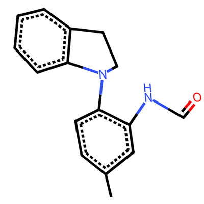 Cc1ccc(N2CCc3ccccc32)c(NC=O)c1